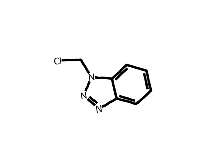 ClCn1nnc2ccccc21